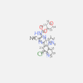 Cn1ccc(-c2nc(NC(=O)OC3CCOCC3)c(C#N)nc2-c2cc(Cl)c3ncccc3c2)n1